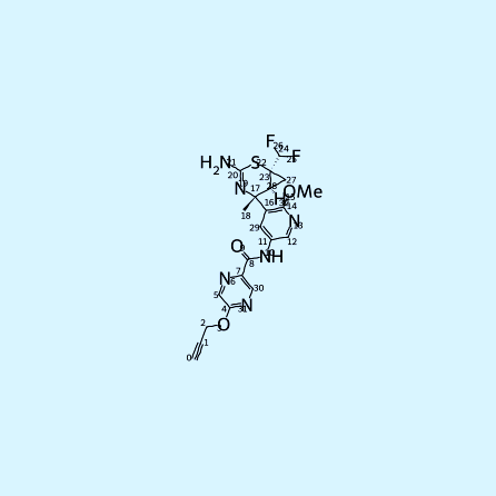 C#CCOc1cnc(C(=O)Nc2cnc(OC)c([C@]3(C)N=C(N)S[C@@]4(C(F)F)C[C@@H]34)c2)cn1